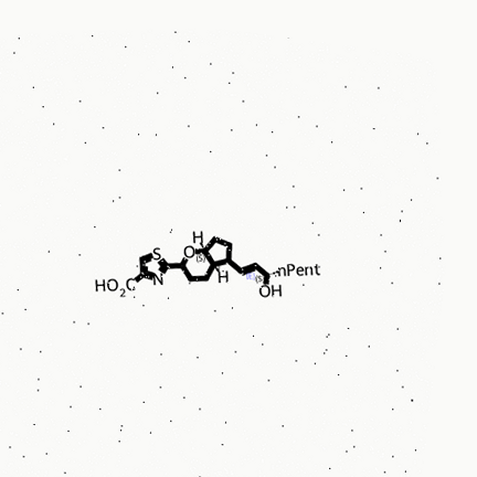 CCCCC[C@H](O)/C=C/C1CC[C@@H]2OC(c3nc(C(=O)O)cs3)CC[C@H]12